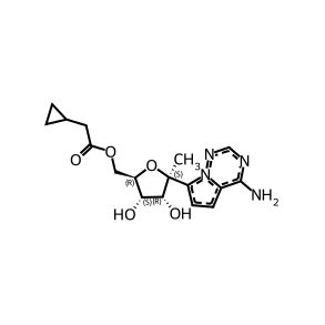 C[C@@]1(c2ccc3c(N)ncnn23)O[C@H](COC(=O)CC2CC2)[C@@H](O)[C@H]1O